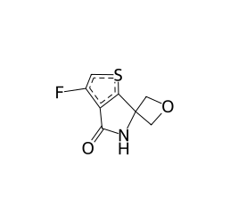 O=C1NC2(COC2)c2scc(F)c21